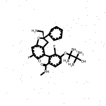 BC(B)(O)C(B)(B)Oc1ccc(C(=O)NC)c(-c2c(Cl)c(F)cc3c2C[C@@](CN)(c2ccccc2)O3)c1F